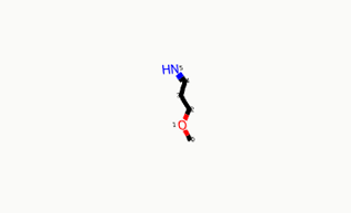 COCCC=N